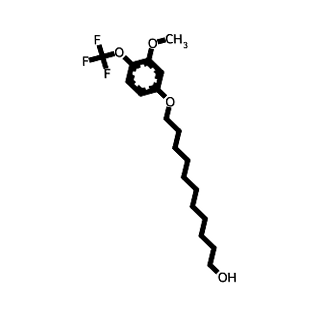 COc1cc(OCCCCCCCCCCCO)ccc1OC(F)(F)F